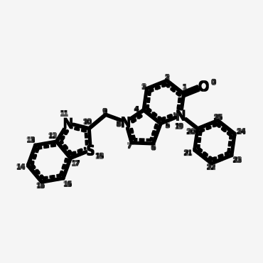 O=c1ccc2c(ccn2Cc2nc3ccccc3s2)n1-c1ccccc1